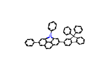 c1ccc(-c2cc3ccc4cc(-c5ccc6c(c5)C(c5ccccc5)(c5ccccc5)c5ccccc5-6)cc5c4c3c(c2)n5-c2ccccc2)cc1